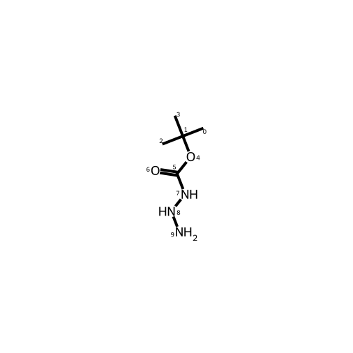 CC(C)(C)OC(=O)NNN